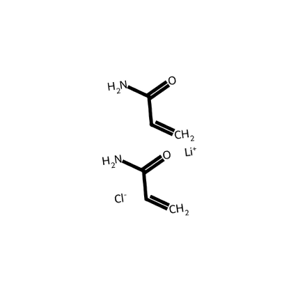 C=CC(N)=O.C=CC(N)=O.[Cl-].[Li+]